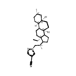 CC[C@]12CCC3[C@@H](CC[C@@H]4C[C@@H](C)CC[C@H]34)C1CCC2[C@H](C)Cn1cc(C#N)cn1